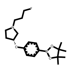 CC1(C)OB(c2ccc(O[C@@H]3CCN(CCCF)C3)cc2)OC1(C)C